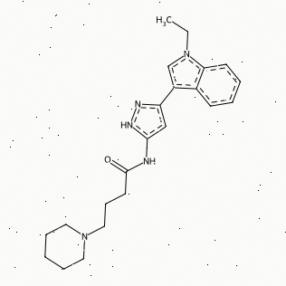 CCn1cc(-c2cc(NC(=O)CCCN3CCCCC3)[nH]n2)c2ccccc21